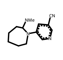 CNC1CCCCCN1c1cncc(C#N)c1